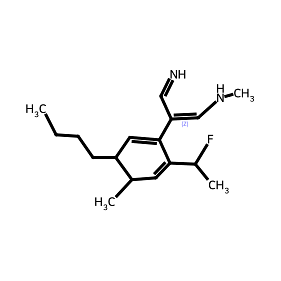 CCCCC1C=C(/C(C=N)=C/NC)C(C(C)F)=CC1C